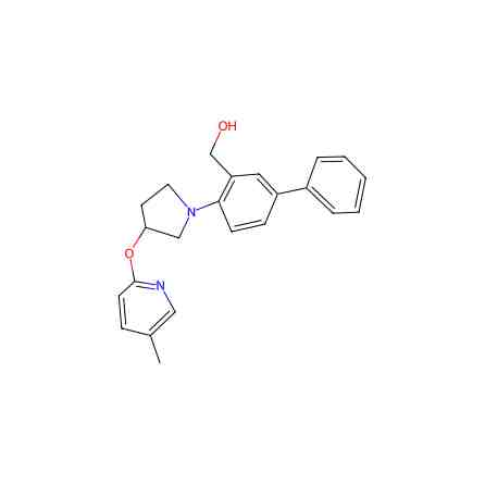 Cc1ccc(OC2CCN(c3ccc(-c4ccccc4)cc3CO)C2)nc1